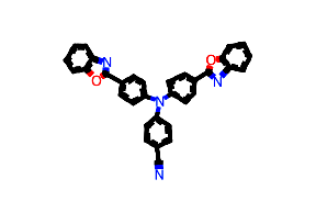 N#Cc1ccc(N(c2ccc(-c3nc4ccccc4o3)cc2)c2ccc(-c3nc4ccccc4o3)cc2)cc1